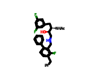 CC(=O)N[C@@H](Cc1cc(F)cc(F)c1)[C@H](O)CNCc1c(-c2ccccc2)ccc(CC(C)C)c1F